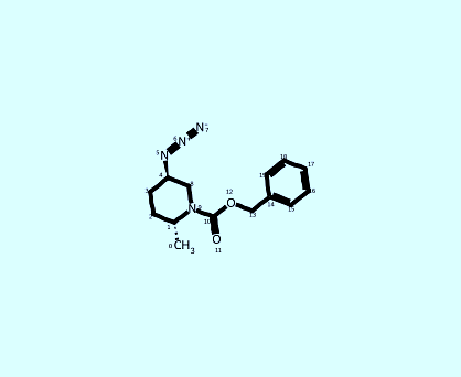 C[C@@H]1CC[C@@H](N=[N+]=[N-])CN1C(=O)OCc1ccccc1